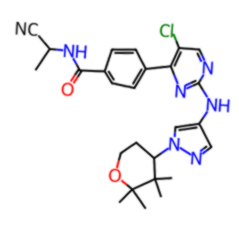 CC(C#N)NC(=O)c1ccc(-c2nc(Nc3cnn(C4CCOC(C)(C)C4(C)C)c3)ncc2Cl)cc1